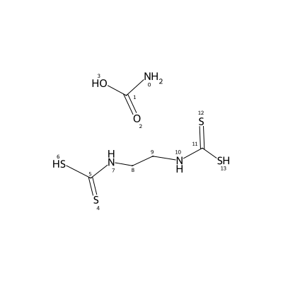 NC(=O)O.S=C(S)NCCNC(=S)S